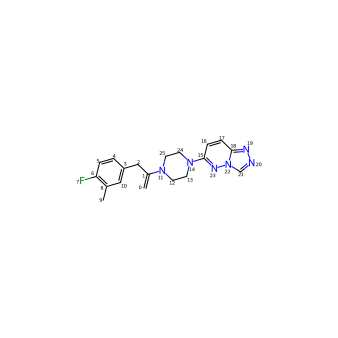 C=C(Cc1ccc(F)c(C)c1)N1CCN(c2ccc3nncn3n2)CC1